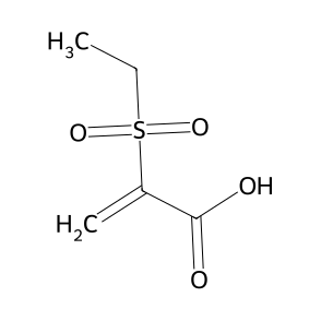 C=C(C(=O)O)S(=O)(=O)CC